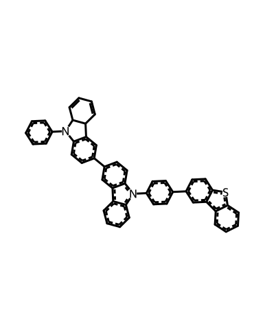 C1=CC2c3cc(-c4ccc5c(c4)c4ccccc4n5-c4ccc(-c5ccc6sc7ccccc7c6c5)cc4)ccc3N(c3ccccc3)C2C=C1